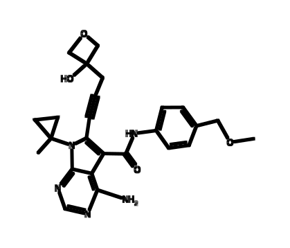 COCc1ccc(NC(=O)c2c(C#CCC3(O)COC3)n(C3(C)CC3)c3ncnc(N)c23)cc1